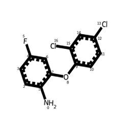 Nc1ccc(F)cc1Oc1ccc(Cl)cc1Cl